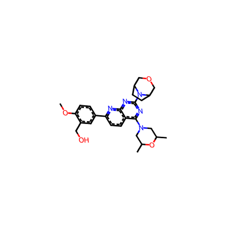 COc1ccc(-c2ccc3c(N4CC(C)OC(C)C4)nc(N4C5CCC4COC5)nc3n2)cc1CO